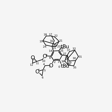 CC(C)(C)c1c(OCC2CO2)c(OCC2CO2)c(C23CC4CC(CC(C4)C2)C3)c(C(C)(C)C)c1C12CC3CC(CC(C3)C1)C2